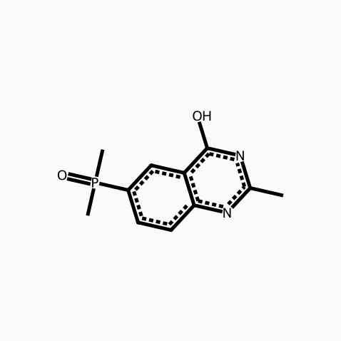 Cc1nc(O)c2cc(P(C)(C)=O)ccc2n1